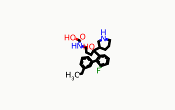 CCc1cccc(-c2c(F)cccc2C(O)(CCCNC(=O)O)C2CCCNC2)c1